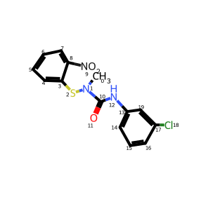 CN(Sc1ccccc1[N+](=O)[O-])C(=O)Nc1cccc(Cl)c1